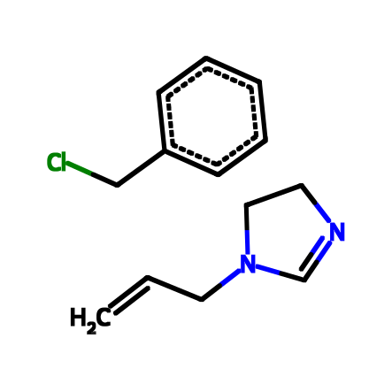 C=CCN1C=NCC1.ClCc1ccccc1